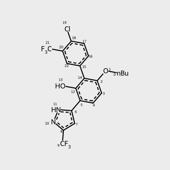 CCCCOc1ccc(-c2cc(C(F)(F)F)n[nH]2)c(O)c1-c1ccc(Cl)c(C(F)(F)F)c1